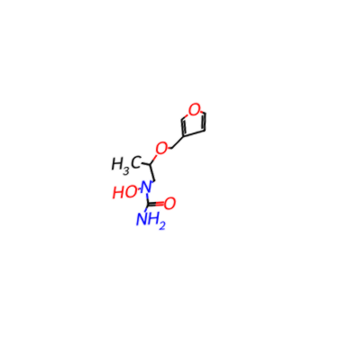 CC(CN(O)C(N)=O)OCc1ccoc1